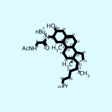 CCCCN(C(=O)CNC(C)=O)C1C[C@@]2(C)C(=CCC3C2CC[C@@]2(C)C3CC[C@@H]2[C@H](C)CCCC(C)C)CC1O